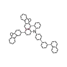 c1cc(-c2ccc(N(c3ccc(-c4ccc5oc6ccccc6c5c4)cc3)c3ccccc3-c3cccc4c3oc3ccccc34)cc2)cc(-c2cccc3ccccc23)c1